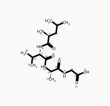 CC(C)C[C@H](N)C(=O)N[C@H](C(=O)N[C@@H](C)C(=O)NCC(=O)O)C(C)C